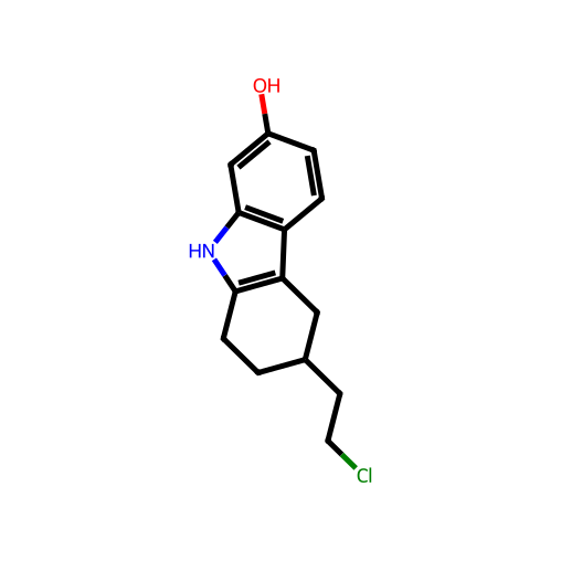 Oc1ccc2c3c([nH]c2c1)CCC(CCCl)C3